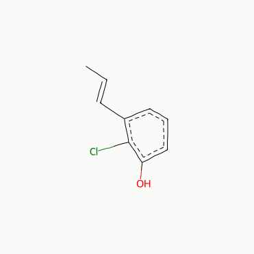 CC=Cc1cccc(O)c1Cl